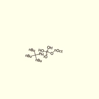 CCCCC(P)(CCCC)CCCC.CCCCCCCCOP(=O)(O)O